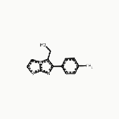 Cc1ccc(-c2nc3sccn3c2CO)cc1